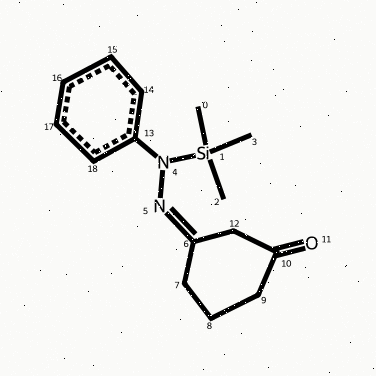 C[Si](C)(C)N(N=C1CCCC(=O)C1)c1ccccc1